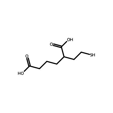 O=C(O)CCCC(CCS)C(=O)O